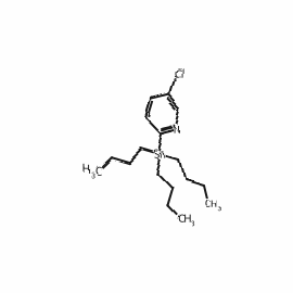 CCC[CH2][Sn]([CH2]CCC)([CH2]CCC)[c]1ccc(Cl)cn1